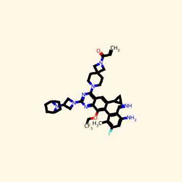 C=CC(=O)N1CC2(CCN(c3nc(N4CC(N5C6CCC5CC6)C4)nc4c(OCC(F)(F)F)c(-c5c(C)c(F)cc(N)c5C=N)c(C5CC5)cc34)CC2)C1